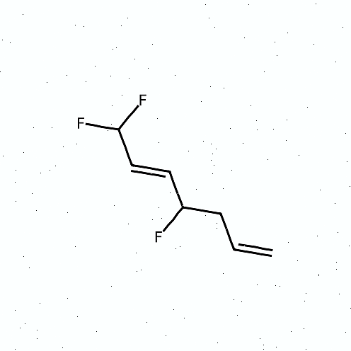 C=CCC(F)C=CC(F)F